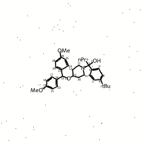 CCCC(O)(c1ccc(C(C)(C)C)cc1)N1CCC(OC(c2ccc(OC)cc2)c2ccc(OC)cc2)CC1